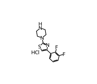 Cl.Fc1cccc(-c2csc(N3CCNCC3)n2)c1F